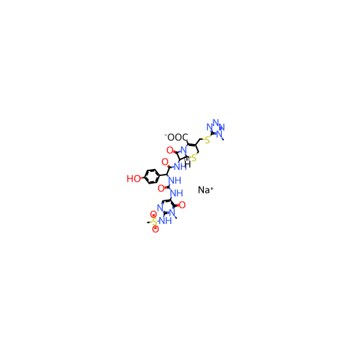 Cn1nnnc1SCC1=C(C(=O)[O-])N2C(=O)C(NC(=O)C(NC(=O)Nc3cnc(NS(C)(=O)=O)n(C)c3=O)c3ccc(O)cc3)[C@@H]2SC1.[Na+]